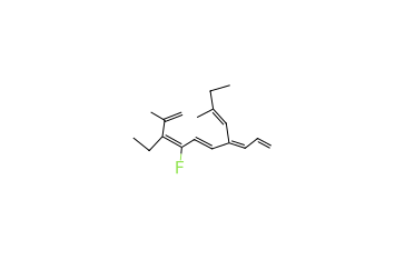 C=C/C=C(C=C/C(F)=C(/CC)C(=C)C)\C=C(/C)CC